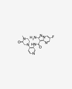 CN1CCN(c2ccncc2NC(=O)c2c(N)nn3cc(F)cnc23)CC1=O